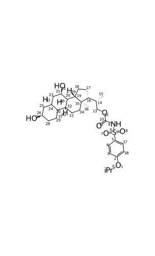 CC(C)Oc1ccc(S(=O)(=O)NC(=O)OC[C@@H](C)[C@H]2CC[C@H]3[C@@H]4[C@H](O)C[C@@H]5C[C@H](O)CC[C@]5(C)[C@H]4CC[C@]23C)cc1